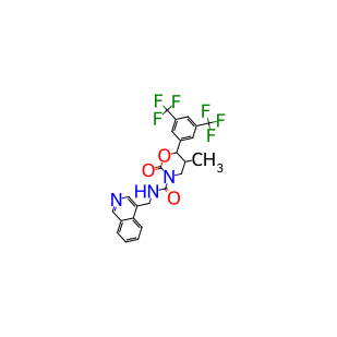 CC1CN(C(=O)NCc2cncc3ccccc23)C(=O)OC1c1cc(C(F)(F)F)cc(C(F)(F)F)c1